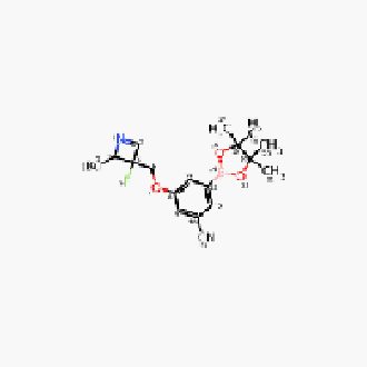 CC(C)(C)C1N=CC1(F)COc1cc(C#N)cc(B2OC(C)(C)C(C)(C)O2)c1